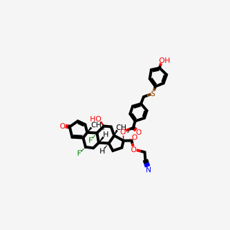 C[C@]12C=CC(=O)C=C1[C@@H](F)C[C@H]1[C@@H]3CC[C@](OC(=O)c4ccc(CSc5ccc(O)cc5)cc4)(C(=O)OCC#N)[C@@]3(C)C[C@H](O)[C@@]12F